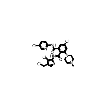 CN1CCN(c2cc(Cl)cc(C(=O)Nc3ccc(Cl)cn3)c2C(=O)Nc2scc(CCl)c2Cl)CC1